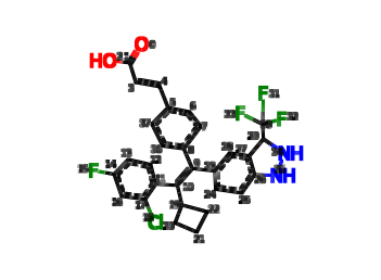 O=C(O)/C=C/c1ccc(/C(=C(\c2ccc(F)cc2Cl)C2CCC2)c2ccc3c(c2)C(C(F)(F)F)NN3)cc1